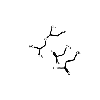 CC(O)COC(C)CO.CCC(=O)O.CCCC(=O)O